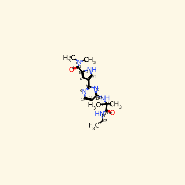 CN(C)C(=O)c1cc(-c2nccc(NC(C)(C)C(=O)NCC(F)(F)F)n2)c[nH]1